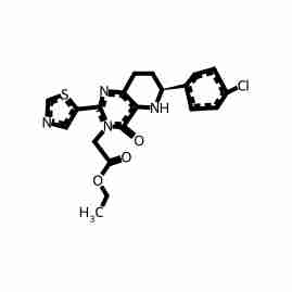 CCOC(=O)Cn1c(-c2cncs2)nc2c(c1=O)N[C@H](c1ccc(Cl)cc1)CC2